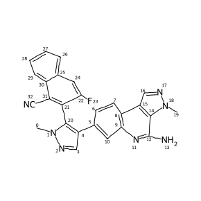 Cn1ncc(-c2ccc3c(c2)nc(N)c2c3cnn2C)c1-c1c(F)cc2ccccc2c1C#N